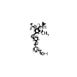 COc1cc(-c2cnc3cc(OC[C@@H]4CCCN(CCO)C4)ccn23)cc(OC(F)F)c1C(=O)NC1CC1